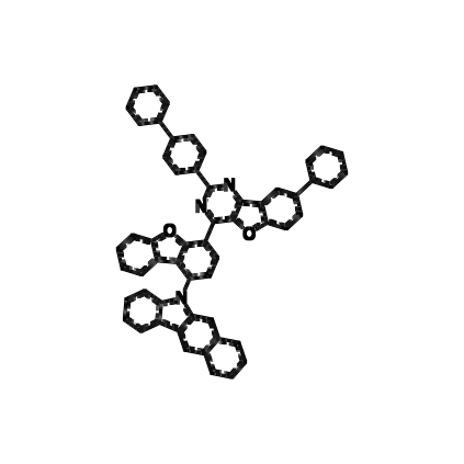 c1ccc(-c2ccc(-c3nc(-c4ccc(-n5c6ccccc6c6cc7ccccc7cc65)c5c4oc4ccccc45)c4oc5ccc(-c6ccccc6)cc5c4n3)cc2)cc1